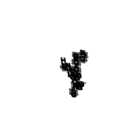 O=C(NS(=O)(=O)c1ccc(NCC2CCOCC2)c([N+](=O)[O-])c1)c1ccc(-c2ccc(N3CCCC3c3cccc4ccncc34)cc2)cc1Oc1cnc2[nH]ccc2c1